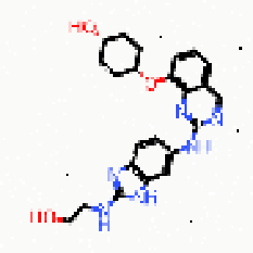 OCCNc1nc2ccc(Nc3ncc4cccc(O[C@H]5CC[C@@H](O)CC5)c4n3)cc2[nH]1